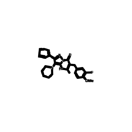 COc1ccc(Cc2c(C)[nH]c3c(N4CCCCC4)c(-c4ccccc4)nn3c2=O)cc1F